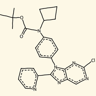 CC(C)(C)OC(=O)N(c1ccc(-n2c(-c3ccccn3)nc3cnc(Cl)nc32)cc1)C1CCC1